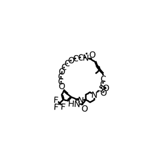 Cc1cc2ccc1CCS(=O)(=O)N1CCC3(CC1)N=C(NC3=O)c1cc(cc(C(F)(F)F)c1)OCCOCCOCCN(C)C2=O